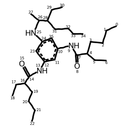 CCCCC(CC)C(=O)Nc1cc(NC(=O)C(CC)CCCC)cc(NC(C)C(CC)CCCC)c1